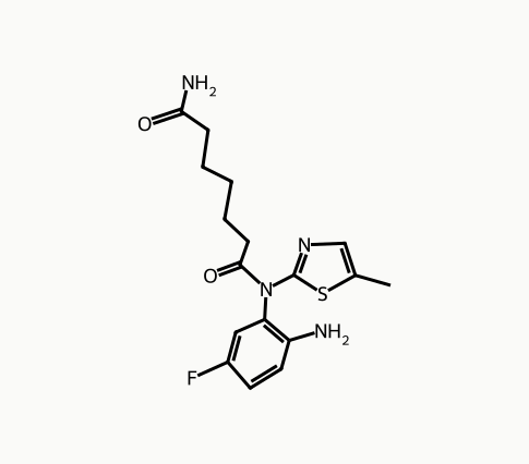 Cc1cnc(N(C(=O)CCCCCC(N)=O)c2cc(F)ccc2N)s1